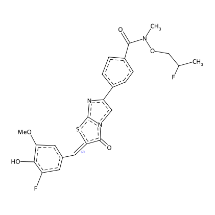 COc1cc(/C=c2\sc3nc(-c4ccc(C(=O)N(C)OCC(C)F)cc4)cn3c2=O)cc(F)c1O